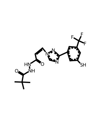 CC(C)(C)C(=O)NNC(=O)/C=C\n1cnc(-c2cc(S)cc(C(F)(F)F)c2)n1